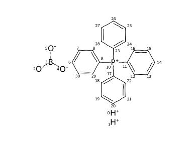 [H+].[H+].[O-]B([O-])[O-].c1ccc([P+](c2ccccc2)(c2ccccc2)c2ccccc2)cc1